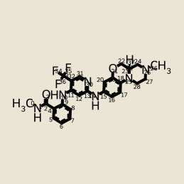 CNC(=O)c1ccccc1Nc1cc(Nc2ccc3c(c2)OC[C@@H]2CN(C)CCN32)ncc1C(F)(F)F